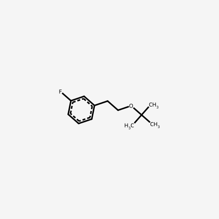 CC(C)(C)OCCc1cccc(F)c1